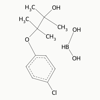 CC(C)(O)C(C)(C)Oc1ccc(Cl)cc1.OBO